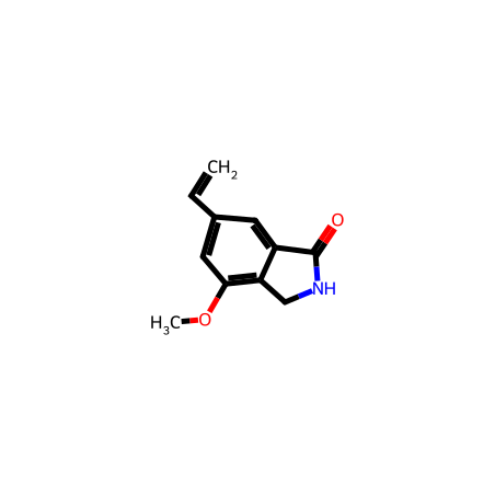 C=Cc1cc(OC)c2c(c1)C(=O)NC2